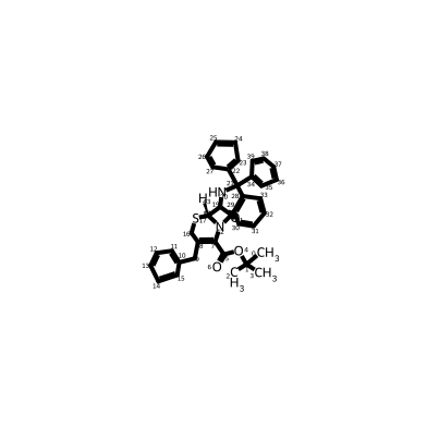 CC(C)(C)OC(=O)C1=C(Cc2ccccc2)CS[C@@H]2C(NC(c3ccccc3)(c3ccccc3)c3ccccc3)C(=O)N12